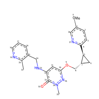 COc1ccc([C@H]2C[C@@H]2COc2cc(NCc3cccnc3C)c(=O)n(C)n2)nc1